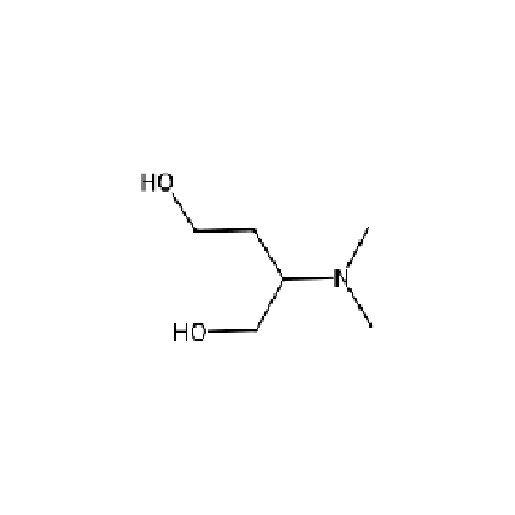 CN(C)C(CO)CCO